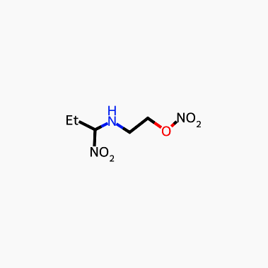 CCC(NCCO[N+](=O)[O-])[N+](=O)[O-]